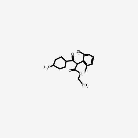 CCOC(=O)C(C(=O)C1CCC(C)CC1)c1c(F)cccc1Cl